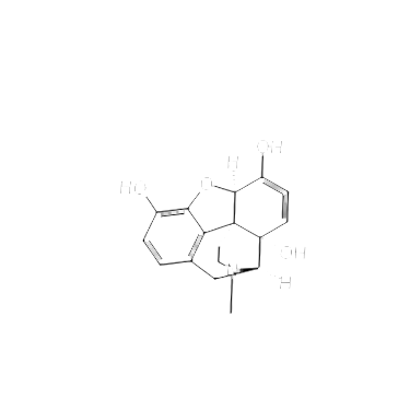 CN1CC[C@]23c4c5ccc(O)c4O[C@H]2C(O)=C=C[C@@]3(O)[C@H]1C5